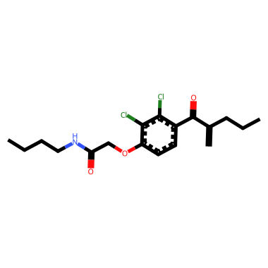 C=C(CCC)C(=O)c1ccc(OCC(=O)NCCCC)c(Cl)c1Cl